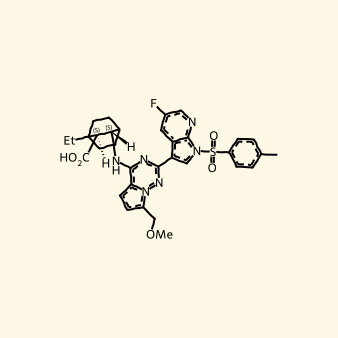 CCC12CCC(CC1)[C@H](Nc1nc(-c3cn(S(=O)(=O)c4ccc(C)cc4)c4ncc(F)cc34)nn3c(COC)ccc13)[C@H]2C(=O)O